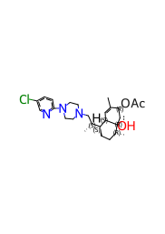 CC(=O)O[C@@H]1[C][C@@]2(O)[C@H](C)CC[C@@H]([C@H](C)CN3CCN(c4ccc(Cl)cn4)CC3)[C@H]2C=C1C